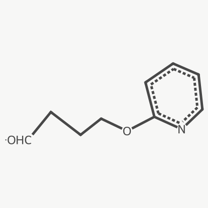 O=[C]CCCOc1ccccn1